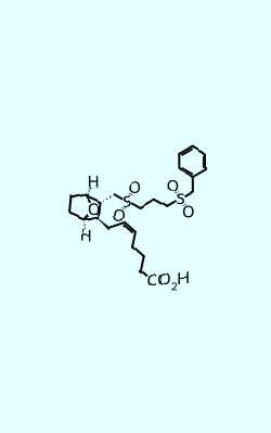 O=C(O)CCC/C=C\C[C@@H]1[C@@H](CS(=O)(=O)CCCS(=O)(=O)Cc2ccccc2)[C@@H]2CC[C@H]1O2